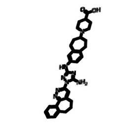 Nc1nc(Nc2ccc3c(c2)CCC(N2CCC(C(=O)O)CC2)CC3)nn1-c1cc2c(nn1)-c1ccccc1CCC2